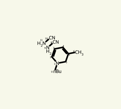 CCCCN1C=CC=C(C)C1.N#CN.N#CN